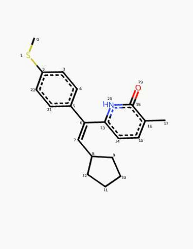 CSc1ccc(C(=CC2CCCC2)c2ccc(C)c(=O)[nH]2)cc1